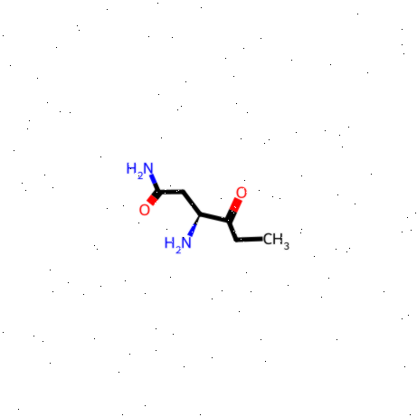 CCC(=O)[C@@H](N)CC(N)=O